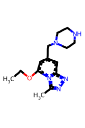 CCOc1cc(CN2CCNCC2)cc2nnc(C)n12